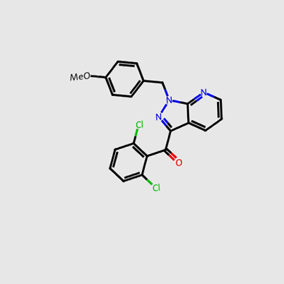 COc1ccc(Cn2nc(C(=O)c3c(Cl)cccc3Cl)c3cccnc32)cc1